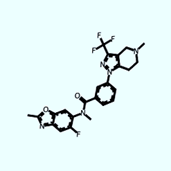 Cc1nc2cc(F)c(N(C)C(=O)c3cccc(-n4nc(C(F)(F)F)c5c4CCN(C)C5)c3)cc2o1